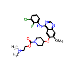 COc1cc2ncnc(Nc3cccc(Cl)c3F)c2cc1OC1CCN(C(=O)OCCN(C)C)CC1